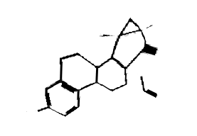 C=CC[C@]12CCC3c4ccc(O)cc4CCC3C1[C@@H]1C[C@@H]1C2=O